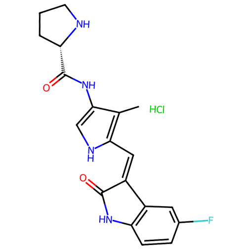 Cc1c(NC(=O)[C@@H]2CCCN2)c[nH]c1/C=C1\C(=O)Nc2ccc(F)cc21.Cl